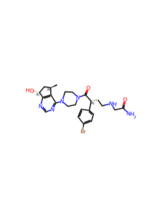 C[C@@H]1C[C@@H](O)c2ncnc(N3CCN(C(=O)[C@H](CCNCC(N)=O)c4ccc(Br)cc4)CC3)c21